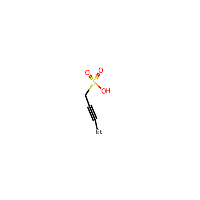 CCC#CCS(=O)(=O)O